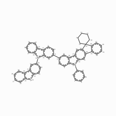 c1ccc(-n2c3ccc(-c4ccc5c6ccccc6n(-c6ccc7sc8ccccc8c7c6)c5c4)cc3c3cc4c(cc32)-c2ccccc2C42CCCCC2)cc1